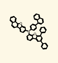 c1ccc(-c2cc(-c3ccccc3)c3oc4c(N(c5ccc(-c6cccc7ccccc67)cc5)c5ccc6c(c5)oc5c7ccccc7ccc65)cccc4c3c2)cc1